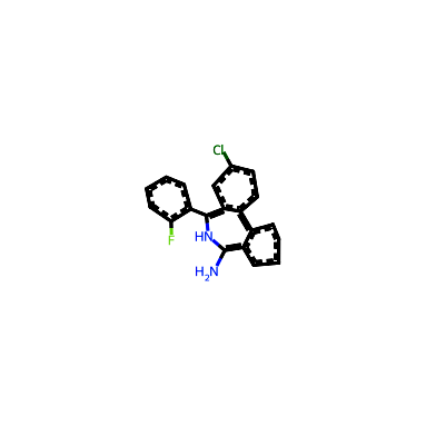 NC1=c2ccccc2=c2ccc(Cl)cc2=C(c2ccccc2F)N1